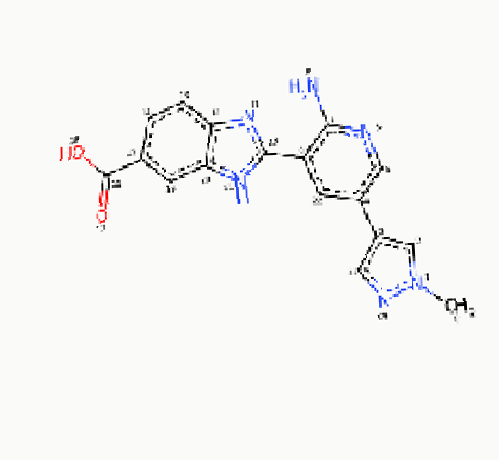 Cn1cc(-c2cnc(N)c(-c3nc4ccc(C(=O)O)cc4[nH]3)c2)cn1